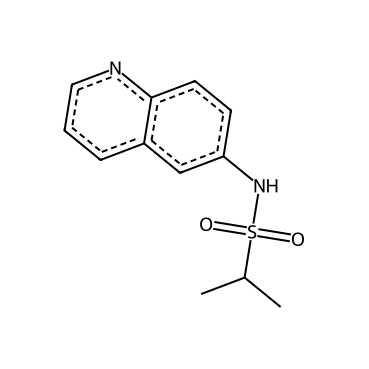 CC(C)S(=O)(=O)Nc1ccc2ncccc2c1